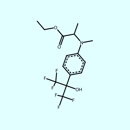 CCOC(=O)C(C)N(C)c1ccc(C(O)(C(F)(F)F)C(F)(F)F)cc1